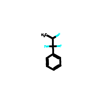 CC(F)C(F)(F)c1c[c]ccc1